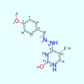 COc1ccc(/C=N/Nc2nc(=O)[nH]cc2F)cc1